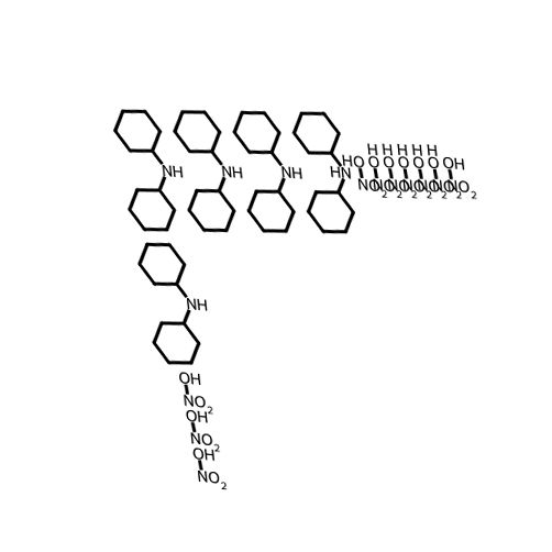 C1CCC(NC2CCCCC2)CC1.C1CCC(NC2CCCCC2)CC1.C1CCC(NC2CCCCC2)CC1.C1CCC(NC2CCCCC2)CC1.C1CCC(NC2CCCCC2)CC1.O=[N+]([O-])O.O=[N+]([O-])O.O=[N+]([O-])O.O=[N+]([O-])O.O=[N+]([O-])O.O=[N+]([O-])O.O=[N+]([O-])O.O=[N+]([O-])O.O=[N+]([O-])O.O=[N+]([O-])O